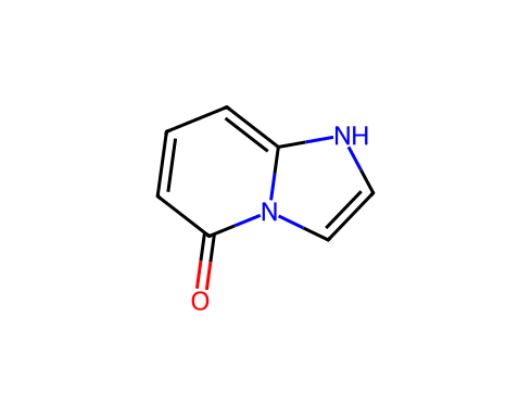 O=c1cccc2[nH]ccn12